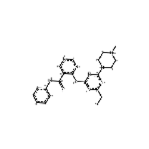 CCc1nc(Oc2ncncc2C(=O)Nc2ccccc2)nc(N2CCN(C)CC2)n1